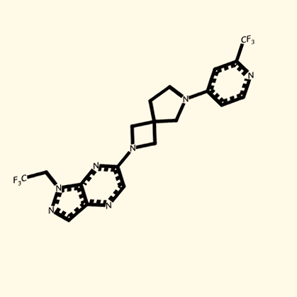 FC(F)(F)Cn1ncc2ncc(N3CC4(CCN(c5ccnc(C(F)(F)F)c5)C4)C3)nc21